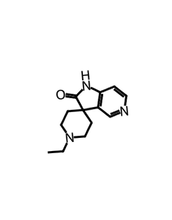 CCN1CCC2(CC1)C(=O)Nc1ccncc12